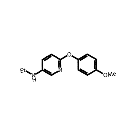 CCNc1ccc(Oc2ccc(OC)cc2)nc1